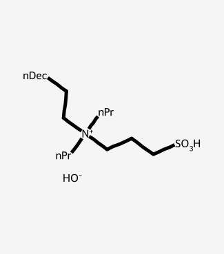 CCCCCCCCCCCC[N+](CCC)(CCC)CCCS(=O)(=O)O.[OH-]